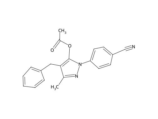 CC(=O)Oc1c(Cc2ccccc2)c(C)nn1-c1ccc(C#N)cc1